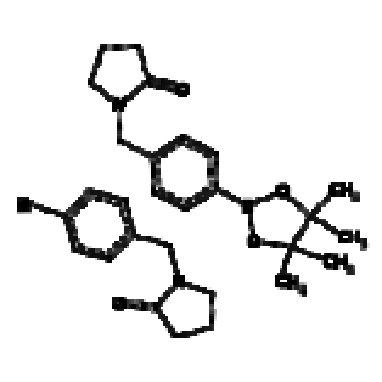 CC1(C)OB(c2ccc(CN3CCCC3=O)cc2)OC1(C)C.O=C1CCCN1Cc1ccc(Br)cc1